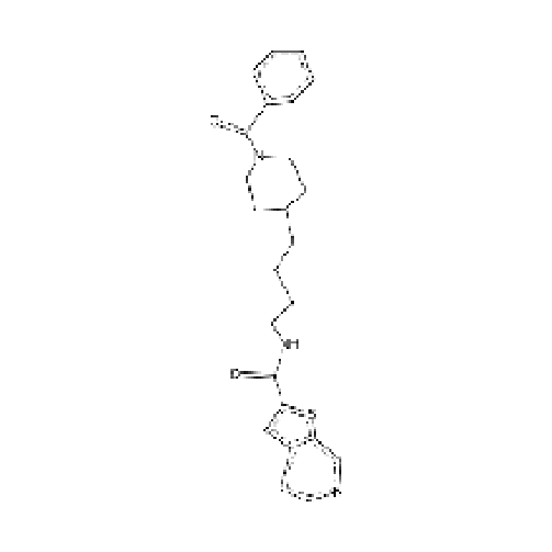 O=C(NCCCCC1CCN(C(=O)c2ccccc2)CC1)c1cc2ccncc2s1